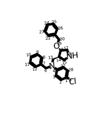 Clc1ccc(N(Cc2ccccc2)C[C@@H]2CNC[C@@H]2OCc2ccccc2)cc1